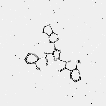 Cc1ccccc1C(=O)Nc1nc(NC(=O)c2ccccc2C)n(-c2ccc3c(c2)CCO3)n1